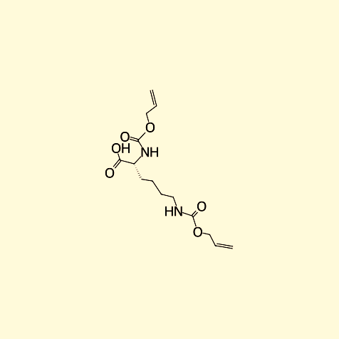 C=CCOC(=O)NCCCC[C@@H](NC(=O)OCC=C)C(=O)O